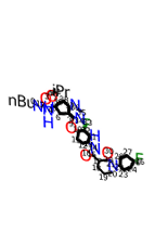 CCCCNC(=O)Nc1cc2c(Oc3ccc(NC(=O)C4CCCN(c5ccc(F)cc5)C4=O)cc3F)ncnc2cc1OC(C)C